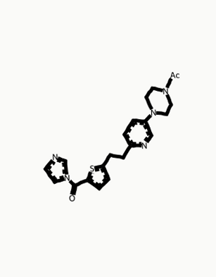 CC(=O)N1CCN(c2ccc(CCc3ccc(C(=O)n4ccnc4)s3)nc2)CC1